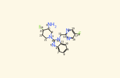 NC1CN(c2nc3ccccc3n2Cc2ncc(F)cn2)CCC1F